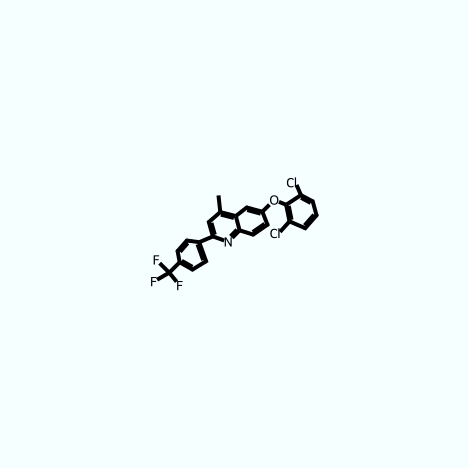 Cc1cc(-c2ccc(C(F)(F)F)cc2)nc2ccc(Oc3c(Cl)cccc3Cl)cc12